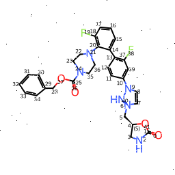 O=C1NC[C@@H](CN2C=CN(c3ccc(-c4cccc(F)c4N4CCN(C(=O)OCc5ccccc5)CC4)c(F)c3)N2)O1